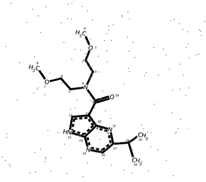 COCCN(CCOC)C(=O)c1c[nH]c2ncc(C(C)C)nc12